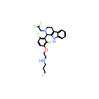 FCCCNCCOc1ccc(F)c(C2c3[nH]c4ccccc4c3CCN2CC(F)F)c1F